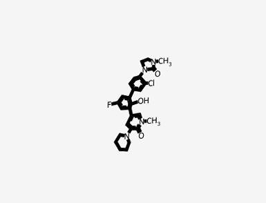 CN1CCN(c2ccc(-c3cc(F)cc(-c4cc(N5CCCCC5)c(=O)n(C)c4)c3O)cc2Cl)C1=O